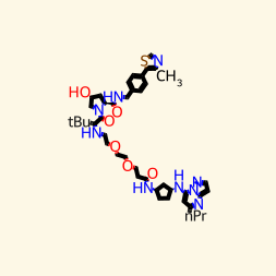 CCCc1cc(N[C@@H]2CC[C@@H](NC(=O)CCOCCOCCNC(C(=O)N3C[C@H](O)C[C@H]3C(=O)NCc3ccc(-c4scnc4C)cc3)C(C)(C)C)C2)n2nccc2n1